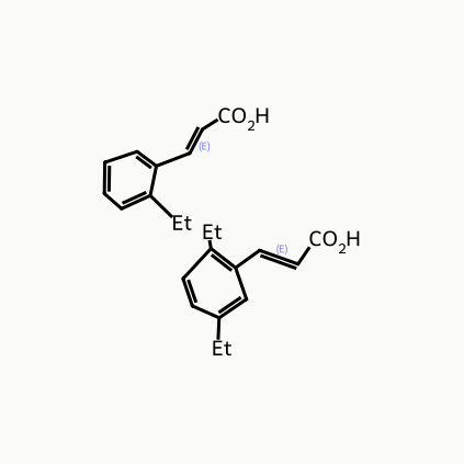 CCc1ccc(CC)c(/C=C/C(=O)O)c1.CCc1ccccc1/C=C/C(=O)O